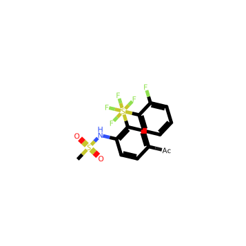 CC(=O)c1ccc(NS(C)(=O)=O)c(S(F)(F)(F)(F)c2ccccc2F)c1